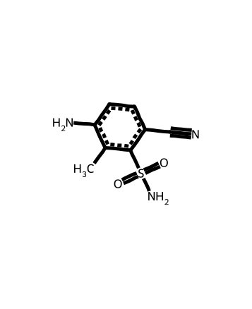 Cc1c(N)ccc(C#N)c1S(N)(=O)=O